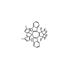 Cc1ccc(C2(c3ccc(C)s3)c3oc4ccccc4c3C3=C(c4c2oc2ccccc42)C(F)(F)C(F)(F)C3(F)F)s1